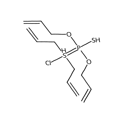 C=CCOP(S)(OCC=C)=[SH](Cl)(CC=C)CC=C